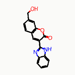 O=c1oc2cc(CO)ccc2cc1-c1nc2ccccc2[nH]1